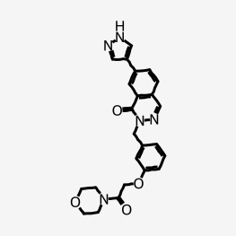 O=C(COc1cccc(Cn2ncc3ccc(-c4cn[nH]c4)cc3c2=O)c1)N1CCOCC1